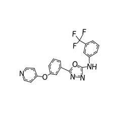 FC(F)(F)c1cccc(Nc2nnc(-c3cccc(Oc4ccncc4)c3)o2)c1